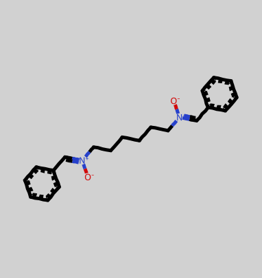 [O-][N+](=Cc1ccccc1)CCCCCC[N+]([O-])=Cc1ccccc1